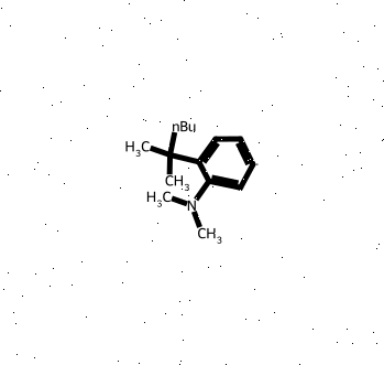 CCCCC(C)(C)c1cc[c]cc1N(C)C